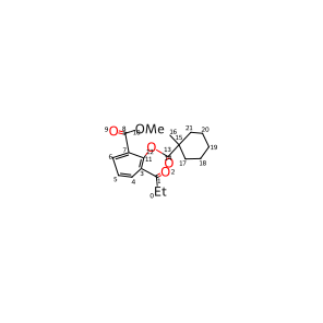 CCC(=O)c1cccc(C(=O)OC)c1OC(=O)C1(C)CCCCC1